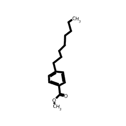 CCCCCCCCc1ccc(C(=O)OC)cc1